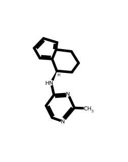 Cc1nccc(N[C@@H]2CCCc3ccccc32)n1